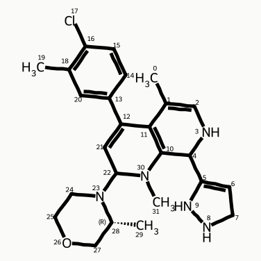 CC1=CNC(C2=CCNN2)C2=C1C(c1ccc(Cl)c(C)c1)=CC(N1CCOC[C@H]1C)N2C